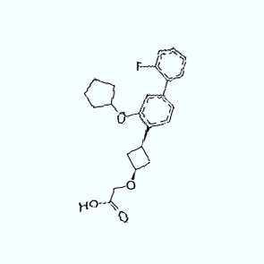 O=C(O)CO[C@H]1C[C@@H](c2ccc(-c3ccccc3F)cc2OC2CCCC2)C1